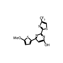 COc1ccc(-c2cc(O)nc(-c3nc(C(F)(F)F)cs3)n2)s1